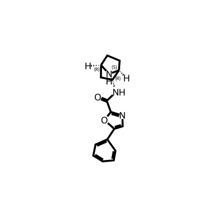 O=C(N[C@@H]1C[C@H]2CC[C@@H]1N2)c1ncc(-c2ccccc2)o1